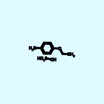 NCOc1ccc(N)cc1.O=S(=O)(O)O